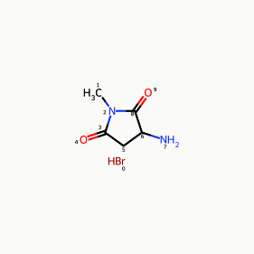 Br.CN1C(=O)CC(N)C1=O